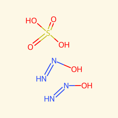 N=NO.N=NO.O=S(=O)(O)O